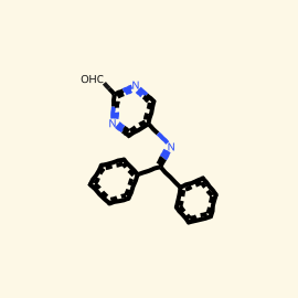 O=Cc1ncc(N=C(c2ccccc2)c2ccccc2)cn1